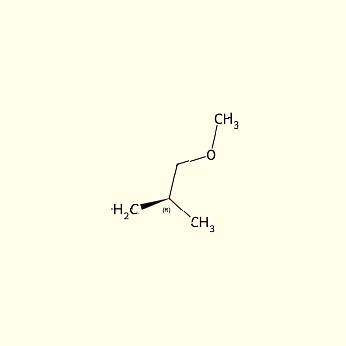 [CH2][C@H](C)COC